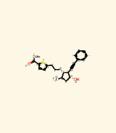 COC(=O)c1ccc(CCC[C@@H]2C(C#Cc3ccccc3)[C@H](O)CC2C(F)(F)F)s1